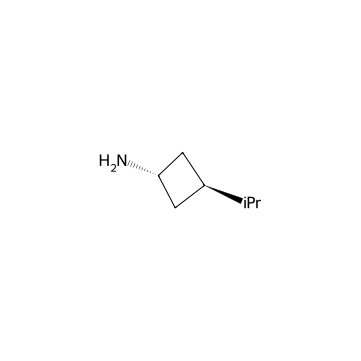 CC(C)[C@H]1C[C@H](N)C1